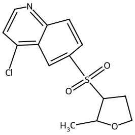 CC1OCCC1S(=O)(=O)c1ccc2nccc(Cl)c2c1